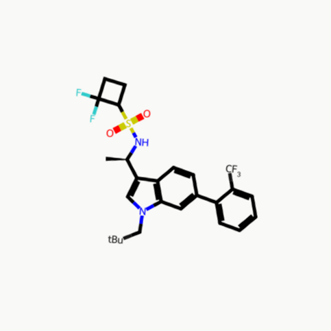 C[C@@H](NS(=O)(=O)C1CCC1(F)F)c1cn(CC(C)(C)C)c2cc(-c3ccccc3C(F)(F)F)ccc12